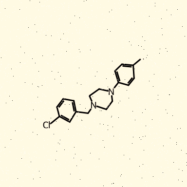 [CH2]c1ccc(N2CCN(Cc3cccc(Cl)c3)CC2)cc1